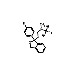 [2H]C([2H])([2H])N(C)CCC1(c2ccc(F)cc2)OCc2ccccc21